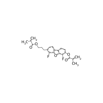 C=C(C)C(=O)OCCCc1ccc2c(oc3c(F)c(OC(=O)C(=C)C)ccc32)c1F